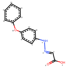 O=C(O)/C=N/Nc1ccc(Oc2ccccc2)cc1